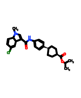 CC(C)OC(=O)[C@H]1CC[C@H](c2ccc(NC(=O)C3=CN(C)C4C=CC(Cl)=CC34)cc2)CC1